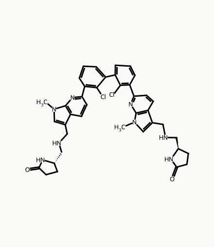 Cn1cc(CNC[C@H]2CCC(=O)N2)c2ccc(-c3cccc(-c4cccc(-c5ccc6c(CNC[C@@H]7CCC(=O)N7)cn(C)c6n5)c4Cl)c3Cl)nc21